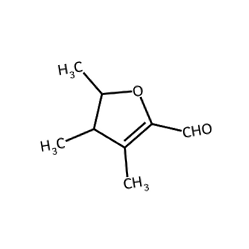 CC1=C(C=O)OC(C)C1C